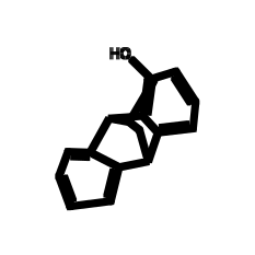 OCC1CC2c3ccccc3C1c1ccccc12